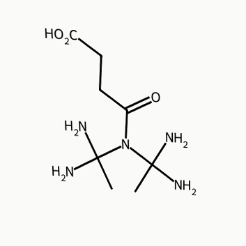 CC(N)(N)N(C(=O)CCC(=O)O)C(C)(N)N